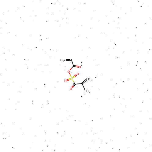 C=CC(=O)OS(=O)(=O)C(=O)C(=C)C